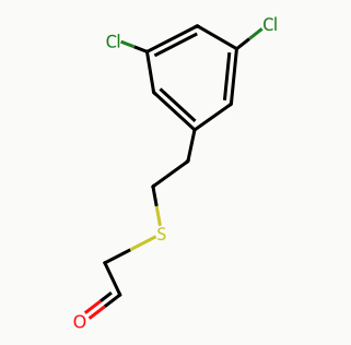 O=CCSCCc1cc(Cl)cc(Cl)c1